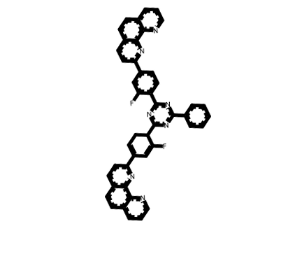 FC1=CC(c2ccc3ccc4cccnc4c3n2)=CCC1c1nc(-c2ccccc2)nc(-c2ccc(-c3ccc4ccc5cccnc5c4n3)cc2F)n1